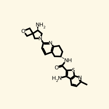 Cc1ccc2c(N)c(C(=O)N[C@H]3CCc4nc(N5C[C@H](N)C6(COC6)C5)ccc4C3)sc2n1